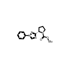 CC(C)(C)OC(=O)N1CCC[C@H]1c1ncn(-c2ccccc2)n1